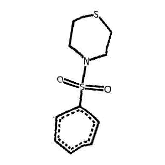 O=S(=O)(c1[c]cccc1)N1CCSCC1